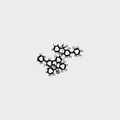 CC1(C)c2ccccc2N(c2ccc3c(c2)c2cc(-c4ccccc4)ccc2n3P(=O)(c2ccccc2)c2ccccc2)c2ccc(-c3ccccc3)cc21